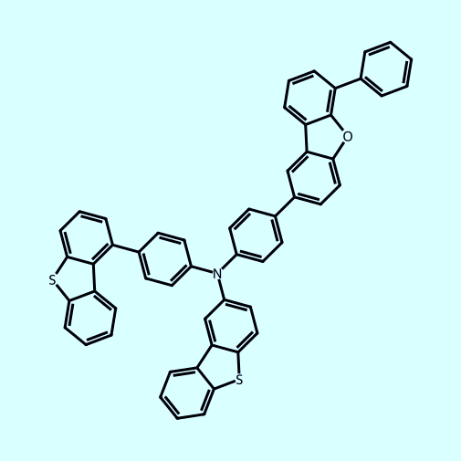 c1ccc(-c2cccc3c2oc2ccc(-c4ccc(N(c5ccc(-c6cccc7sc8ccccc8c67)cc5)c5ccc6sc7ccccc7c6c5)cc4)cc23)cc1